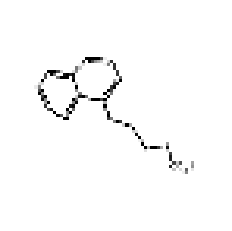 O=C(O)CCCCc1cccc2ccccc12